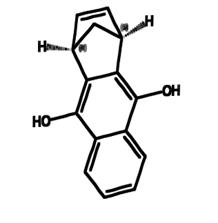 Oc1c2c(c(O)c3ccccc13)[C@H]1C=C[C@@H]2C1